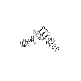 O.O.O.O.O.O.O.O=[N+]([O-])[O-].O=[N+]([O-])[O-].O=[N+]([O-])[O-].[Li+].[Mg+2]